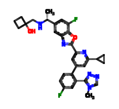 C[C@@H](NCC1(O)CCC1)c1cc(F)c2oc(-c3cc(-c4ccc(F)cc4-c4nncn4C)cc(C4CC4)n3)nc2c1